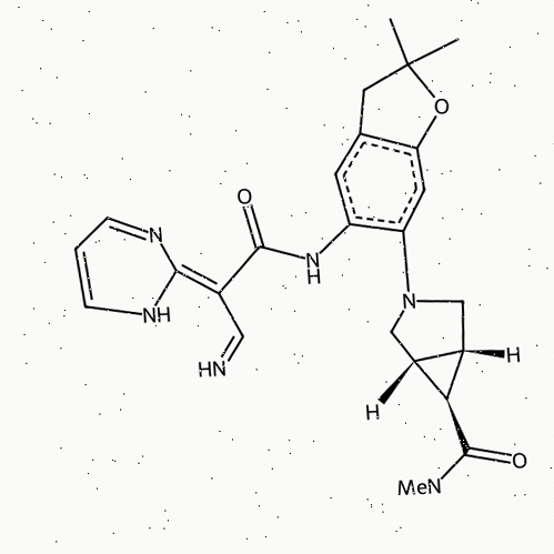 CNC(=O)[C@H]1[C@@H]2CN(c3cc4c(cc3NC(=O)/C(C=N)=C3\N=CC=CN3)CC(C)(C)O4)C[C@@H]21